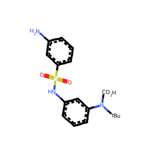 CC(C)(C)N(C(=O)O)c1cccc(NS(=O)(=O)c2cccc(N)c2)c1